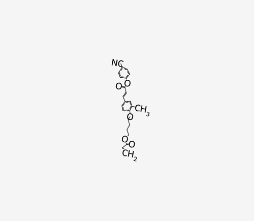 C=CC(=O)OCCCCOc1ccc(/C=C/C(=O)Oc2ccc(C#N)cc2)cc1C